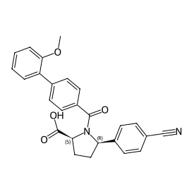 COc1ccccc1-c1ccc(C(=O)N2[C@@H](c3ccc(C#N)cc3)CC[C@H]2C(=O)O)cc1